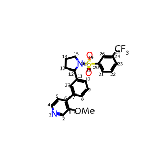 COc1cnccc1-c1cccc(C2CCCN2S(=O)(=O)c2cccc(C(F)(F)F)c2)c1